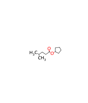 CC(C)CCC(=O)OC1CCCC1